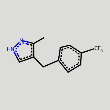 Cc1n[nH]cc1Cc1ccc(C(F)(F)F)cc1